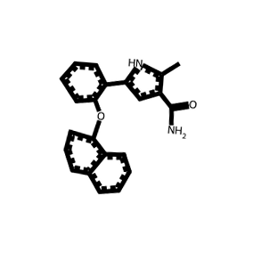 Cc1[nH]c(-c2ccccc2Oc2cccc3ccccc23)cc1C(N)=O